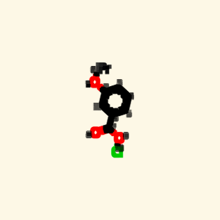 CC(C)Oc1cccc(C(=O)OCl)c1